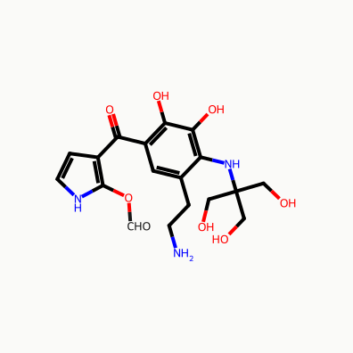 NCCc1cc(C(=O)c2cc[nH]c2OC=O)c(O)c(O)c1NC(CO)(CO)CO